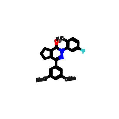 COc1cc(OC)cc(-c2nn(-c3cc(F)ccc3C(F)(F)F)c(=O)c3c2CCC3)c1